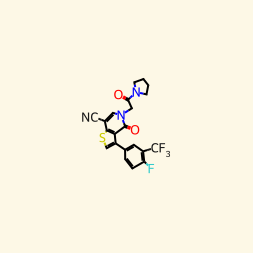 N#Cc1cn(CC(=O)N2CCCC2)c(=O)c2c(-c3ccc(F)c(C(F)(F)F)c3)csc12